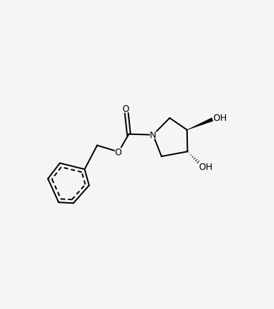 O=C(OCc1ccccc1)N1C[C@@H](O)[C@H](O)C1